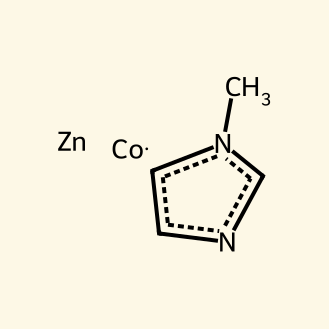 Cn1ccnc1.[Co].[Zn]